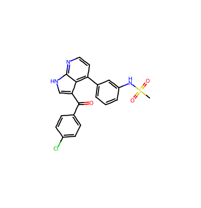 CS(=O)(=O)Nc1cccc(-c2ccnc3[nH]cc(C(=O)c4ccc(Cl)cc4)c23)c1